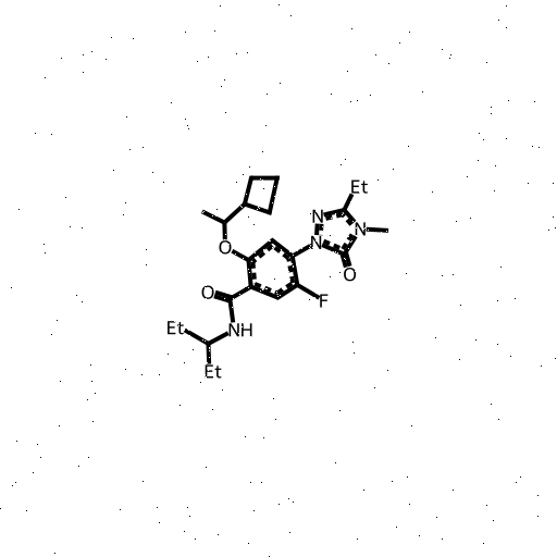 CCc1nn(-c2cc(OC(C)C3CCC3)c(C(=O)NC(CC)CC)cc2F)c(=O)n1C